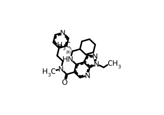 CCn1ncc2c(N[C@H](C)C3CCCCC3)c(C(=O)N(C)CCc3ccncc3)cnc21